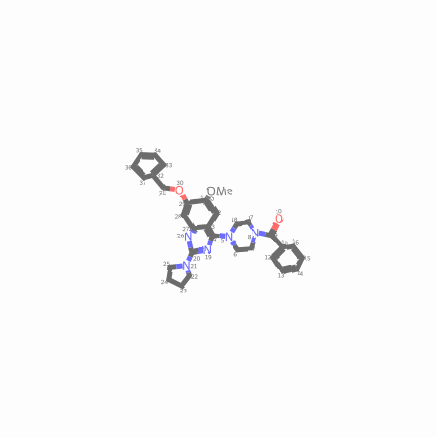 COc1cc2c(N3CCN(C(=O)c4ccccc4)CC3)nc(N3CCCC3)nc2cc1OCc1ccccc1